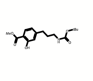 COC(=O)c1ccc(CCCNC(=O)OC(C)(C)C)cc1O